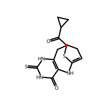 O=C(CS/C1=C\CCCc2[nH]c(=S)[nH]c(=O)c2N1)C1CC1